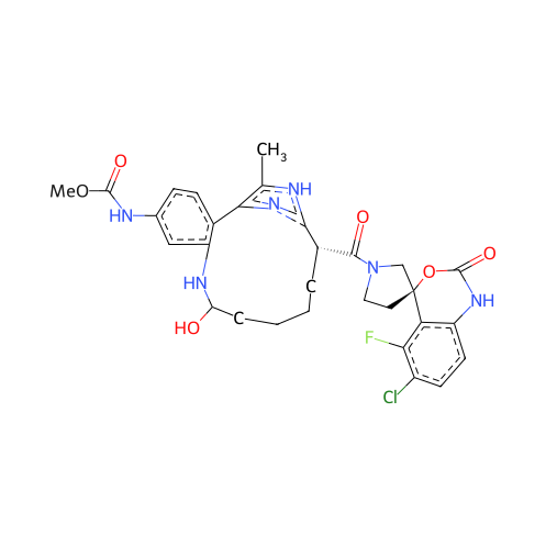 COC(=O)Nc1ccc2c(c1)NC(O)CCCC[C@@H](C(=O)N1CC[C@@]3(C1)OC(=O)Nc1ccc(Cl)c(F)c13)c1nc-2c(C)[nH]1